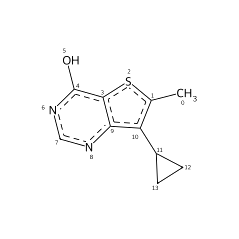 Cc1sc2c(O)ncnc2c1C1CC1